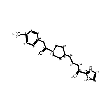 Cc1ccc(CC(=O)N2CCC(CCCC(=O)c3ncco3)CC2)cc1